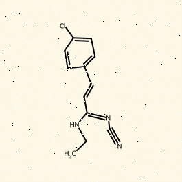 CCNC(C=Cc1ccc(Cl)cc1)=NC#N